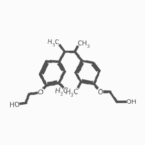 Cc1cc(C(C)C(C)c2ccc(OCCO)c(C)c2)ccc1OCCO